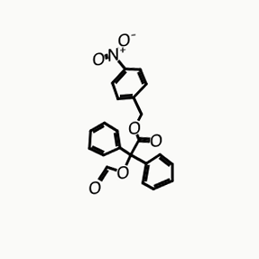 O=COC(C(=O)OCc1ccc([N+](=O)[O-])cc1)(c1ccccc1)c1ccccc1